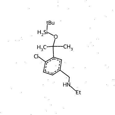 CCNCc1ccc(Cl)c(C(C)(C)O[SiH2]C(C)(C)C)c1